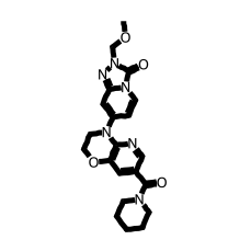 COCn1nc2cc(N3CCOc4cc(C(=O)N5CCCCC5)cnc43)ccn2c1=O